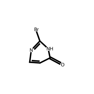 O=c1ccnc(Br)[nH]1